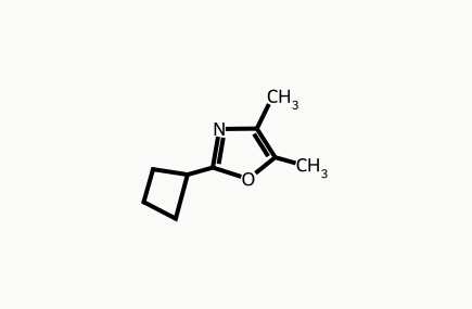 Cc1nc(C2CCC2)oc1C